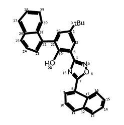 CC(C)(C)c1cc(-c2noc(-c3cccc4ccccc34)n2)c(O)c(-c2cccc3ccccc23)c1